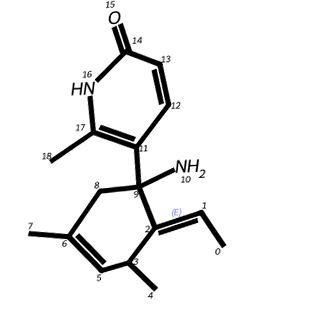 C/C=C1\C(C)C=C(C)CC1(N)c1ccc(=O)[nH]c1C